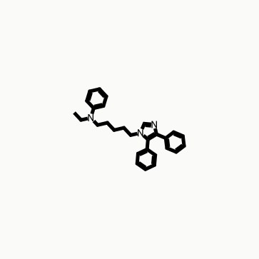 CCN(CCCCCn1cnc(-c2ccccc2)c1-c1ccccc1)c1ccccc1